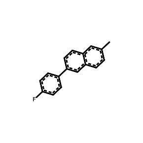 Cc1ccc2cc(-c3ccc(F)cc3)ccc2c1